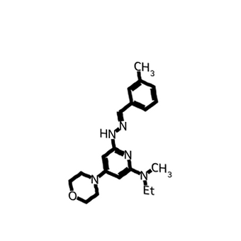 CCN(C)c1cc(N2CCOCC2)cc(NN=Cc2cccc(C)c2)n1